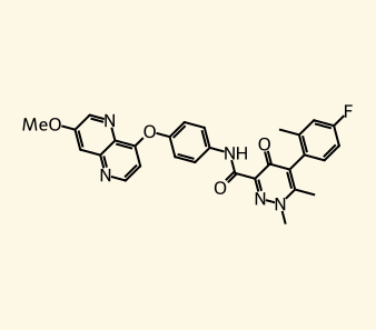 COc1cnc2c(Oc3ccc(NC(=O)c4nn(C)c(C)c(-c5ccc(F)cc5C)c4=O)cc3)ccnc2c1